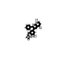 Cc1cc(-c2cc3c(=O)cc[nH]c3nc2-c2ccccc2)cc(Cl)c1NS(C)(=O)=O